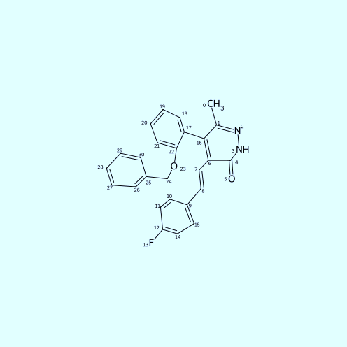 Cc1n[nH]c(=O)c(/C=C/c2ccc(F)cc2)c1-c1ccccc1OCc1ccccc1